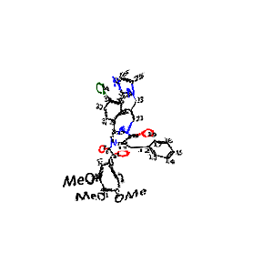 COc1cc(C(=O)C(=O)N(C)C(Cc2ccccc2)C(=O)N(CCCn2ccnc2)Cc2ccc(Cl)cc2)cc(OC)c1OC